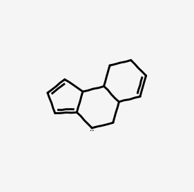 [C]1CC2C=CCCC2C2C=CC=C12